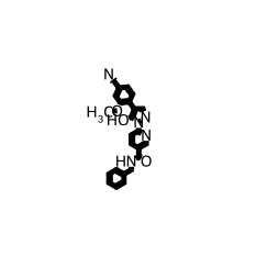 COc1cc(C#N)ccc1-c1cnn(-c2ccc(C(=O)NCc3ccccc3)cn2)c1O